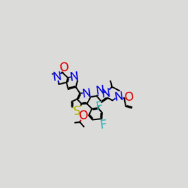 C=CC(=O)N1Cc2cc(-c3nc(-c4cnc5c(c4)CN(C)C5=O)c4ccsc4c3-c3c(F)cc(F)cc3OC(C)C)nn2C(C)C1